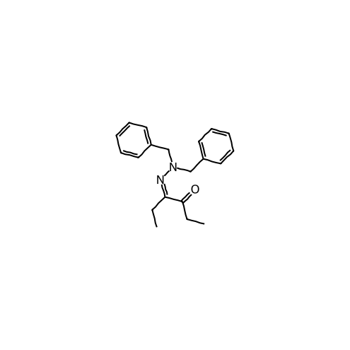 CCC(=O)C(CC)=NN(Cc1ccccc1)Cc1ccccc1